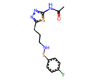 CC(=O)Nc1nnc(CCCNSc2ccc(F)cc2)s1